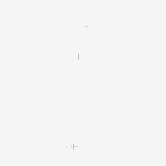 Oc1ccc(OC(F)(F)F)cc1C1CC1